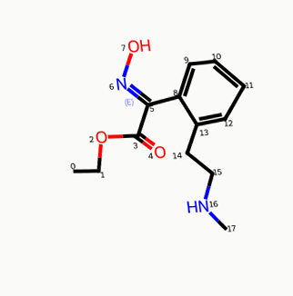 CCOC(=O)/C(=N/O)c1ccccc1CCNC